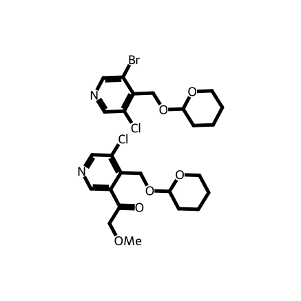 COCC(=O)c1cncc(Cl)c1COC1CCCCO1.Clc1cncc(Br)c1COC1CCCCO1